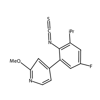 COc1cc(-c2cc(F)cc(C(C)C)c2N=C=S)ccn1